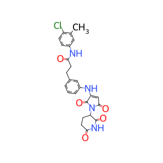 Cc1cc(NC(=O)CCc2cccc(NC3=CC(=O)N(C4CCC(=O)NC4=O)C3=O)c2)ccc1Cl